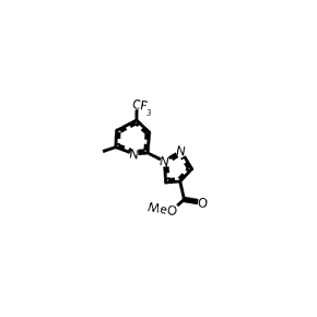 COC(=O)c1cnn(-c2cc(C(F)(F)F)cc(C)n2)c1